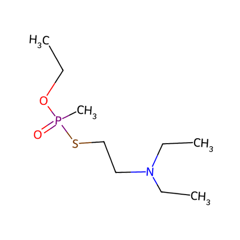 CCOP(C)(=O)SCCN(CC)CC